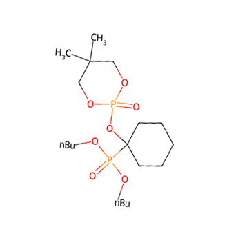 CCCCOP(=O)(OCCCC)C1(OP2(=O)OCC(C)(C)CO2)CCCCC1